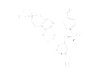 CCOc1ccc(C2=Cc3ccc4c(c3OC2)C=CC(C)(C)O4)c(OS(=O)(=O)C2=CC=C(C)CC2)c1